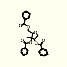 CC1(OC(=O)c2ccccc2)C(COC(=O)c2ccccc2)OCC1OC(=O)c1ccccc1